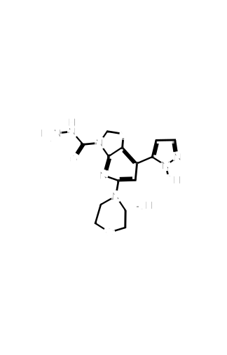 C[C@@H]1COCCN1c1cc(-c2ccnn2C)c2c(n1)N(C(=O)NN)CS2